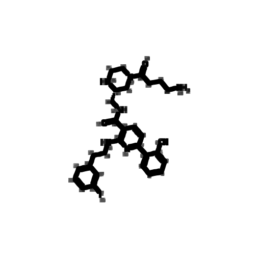 N#Cc1ccccc1-c1ccc(C(=O)NC[C@H]2CN(C(=O)CCCN)CCN2)c(NCCc2cccc(F)c2)n1